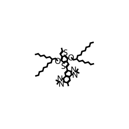 CCCCCCCCC(CCCCCC)COc1c2cc(-c3cc4c5c(c(C)cc4c4c3=NC(C)(C)N=4)=NC(C)(C)N=5)sc2c(OCC(CCCCCC)CCCCCCCC)c2cc(C)sc12